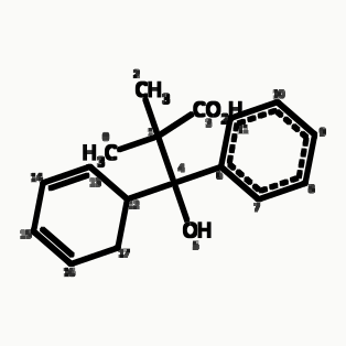 CC(C)(C(=O)O)C(O)(c1ccccc1)C1C=CC=CC1